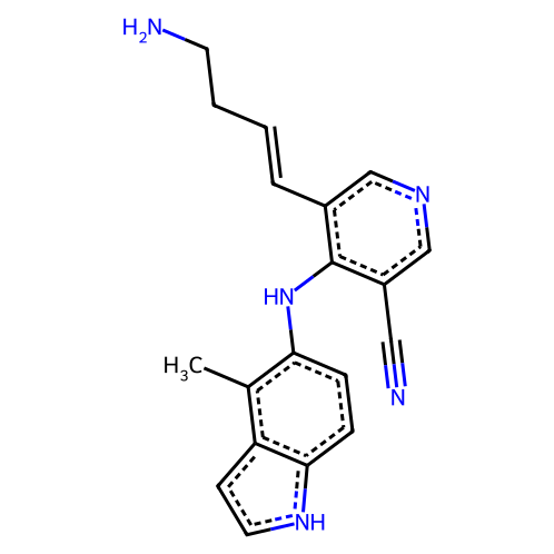 Cc1c(Nc2c(C#N)cncc2/C=C/CCN)ccc2[nH]ccc12